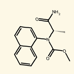 COC(=O)N(c1cccc2ccccc12)[C@@H](C)C(N)=O